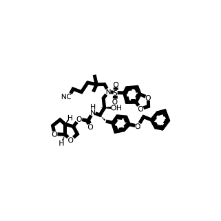 CC(C)(CCCC#N)CN(C[C@@H](O)[C@H](Cc1ccc(OCc2ccccc2)cc1)NC(=O)OC1CO[C@H]2OCC[C@@H]12)S(=O)(=O)c1ccc2c(c1)OCO2